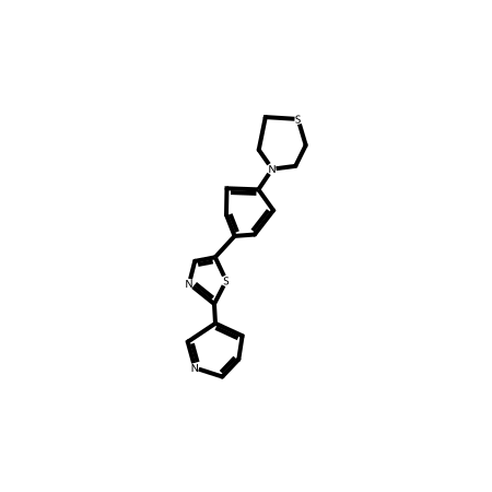 c1cncc(-c2ncc(-c3ccc(N4CCSCC4)cc3)s2)c1